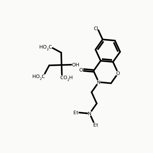 CCN(CC)CCN1COc2ccc(Cl)cc2C1=O.O=C(O)CC(O)(CC(=O)O)C(=O)O